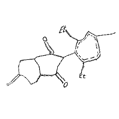 C=C1CC2C(=O)C(c3c(CC)cc(C)cc3CC)C(=O)C2C1